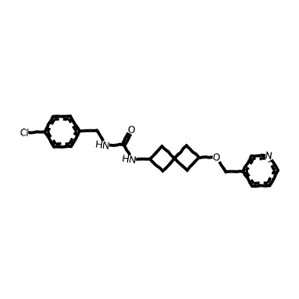 O=C(NCc1ccc(Cl)cc1)NC1CC2(C1)CC(OCc1cccnc1)C2